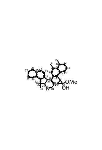 COC1(O)C2c3c(cc(C)c4c(C)cccc34)C3=[N+](C=NC4C3c3ccc5ccccc5c3C4(C)C)C21